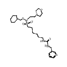 O=C(NCCCCCCS(=O)(=O)N(CCN1CCOCC1)OCC1CCCCC1)NCc1cccnc1